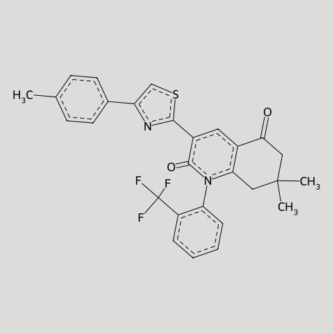 Cc1ccc(-c2csc(-c3cc4c(n(-c5ccccc5C(F)(F)F)c3=O)CC(C)(C)CC4=O)n2)cc1